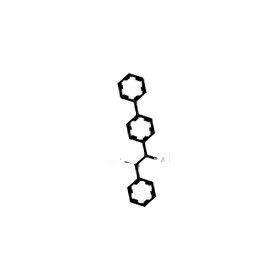 NC(c1ccc(-c2ccccc2)cc1)[C@H](N)c1ccccc1